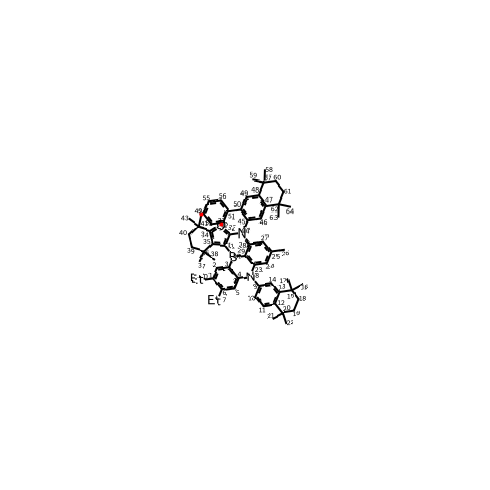 CCc1cc2c(cc1CC)N(c1ccc3c(c1)C(C)(C)CCC3(C)C)c1cc(C)cc3c1B2c1c(oc2c1C(C)(C)CCC2(C)C)N3c1cc2c(cc1-c1ccccc1)C(C)(C)CCC2(C)C